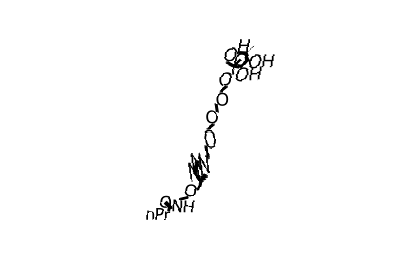 CCCC(=O)NCCOCc1cn(CCOCCOCCOCCOC[C@@]23CO[C@@H](O2)[C@H](C)[C@@H](O)[C@H]3O)nn1